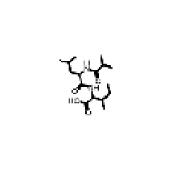 CCC(C)C(NC(=O)C(CC(C)C)NC(=O)C(C)C)C(=O)O